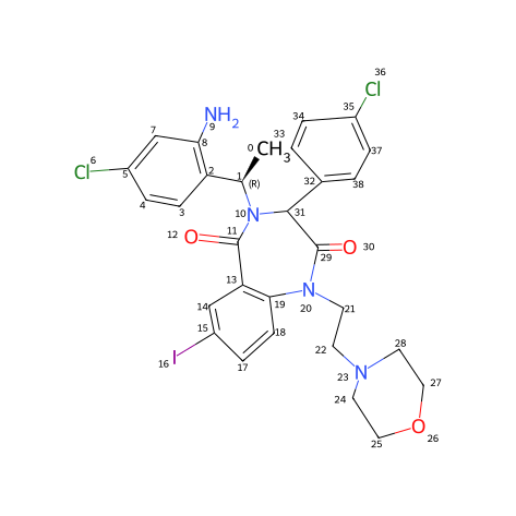 C[C@H](c1ccc(Cl)cc1N)N1C(=O)c2cc(I)ccc2N(CCN2CCOCC2)C(=O)C1c1ccc(Cl)cc1